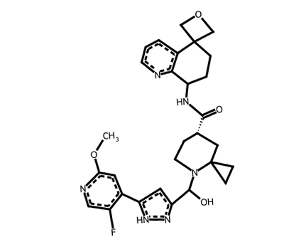 COc1cc(-c2cc(C(O)N3CC[C@H](C(=O)NC4CCC5(COC5)c5cccnc54)CC34CC4)n[nH]2)c(F)cn1